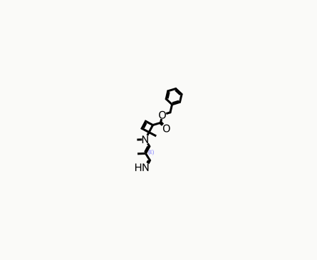 C/C(C=N)=C\N(C)C1(C)C=CC1C(=O)OCc1ccccc1